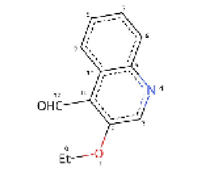 CCOc1cnc2ccccc2c1C=O